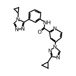 O=C(Nc1cccc(-c2nncn2C2CC2)c1)c1cc(-n2cnc(C3CC3)n2)ccn1